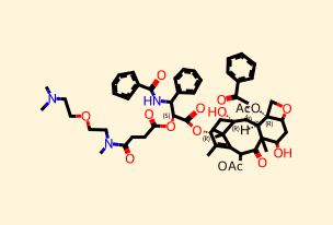 CC(=O)OC1C(=O)C2(C)C(O)CC3OC[C@]3(OC(C)=O)[C@@H]2[C@@H](CC(=O)c2ccccc2)[C@]2(O)C[C@@H](OC(=O)[C@@H](OC(=O)CCC(=O)N(C)CCOCCN(C)C)C(NC(=O)c3ccccc3)c3ccccc3)C(C)=C1C2(C)C